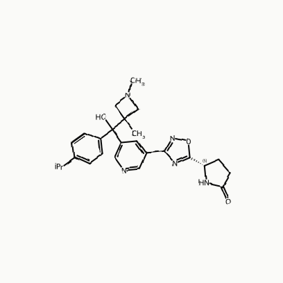 CC(C)c1ccc(C(O)(c2cncc(-c3noc([C@@H]4CCC(=O)N4)n3)c2)C2(C)CN(C)C2)cc1